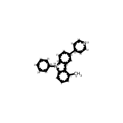 Cc1cccc2c1c1cc(-c3ccncc3)ccc1n2-c1ccccc1